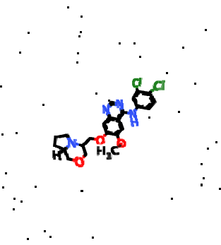 COc1cc2c(Nc3ccc(Cl)c(Cl)c3)ncnc2cc1OCC1COC[C@@H]2CCCN12